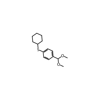 COC(OC)c1ccc(SC2CCCCC2)cc1